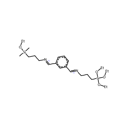 CCO[Si](C)(C)CCC/N=C/c1cccc(/C=N/CCC[Si](OCC)(OCC)OCC)c1